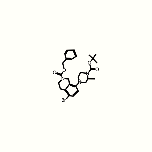 CC1CN(c2ccc(Br)c3c2CN(C(=O)OCc2ccccc2)CC3)CCN1C(=O)OC(C)(C)C